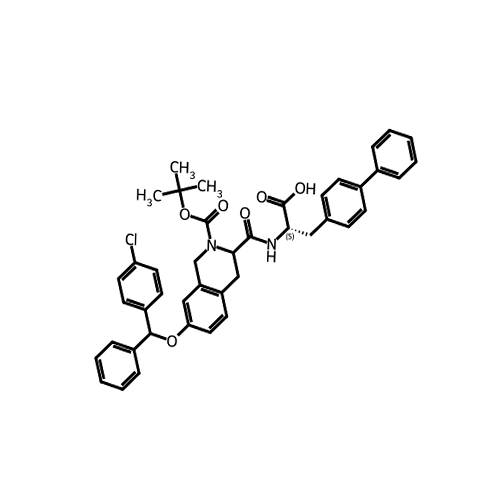 CC(C)(C)OC(=O)N1Cc2cc(OC(c3ccccc3)c3ccc(Cl)cc3)ccc2CC1C(=O)N[C@@H](Cc1ccc(-c2ccccc2)cc1)C(=O)O